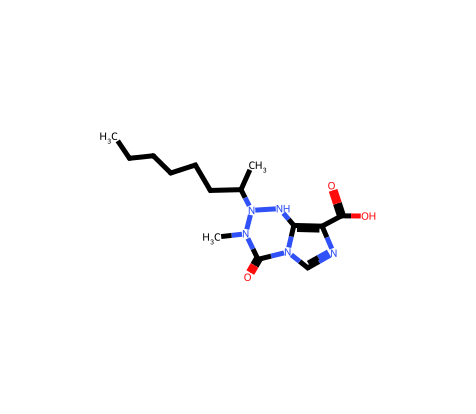 CCCCCCC(C)N1Nc2c(C(=O)O)ncn2C(=O)N1C